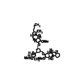 C=CCCC1C[C@H]2C=N[C@@H]3CC(OCC4=C[C@H](N(C)CC(C)(C)SSC)C[C@H](COC5=C(OC)C[C@H]6C(=O)N7C8CCCC[C@H]8C[C@H]7N[C@H]6C5)C4)=C(OC)C[C@@H]3C(=O)N2[C@@H]1C